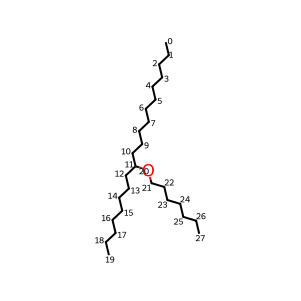 CCCCCCCCCCCC(CCCCCCCC)OCCCCCCC